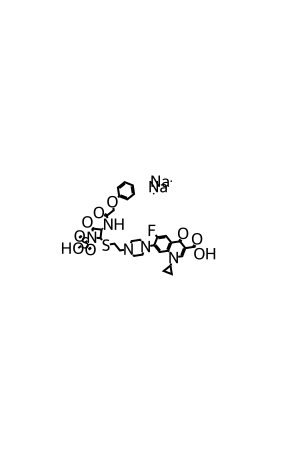 O=C(COc1ccccc1)N[C@H]1C(=O)N(S(=O)(=O)O)C1SCCN1CCN(c2cc3c(cc2F)c(=O)c(C(=O)O)cn3C2CC2)CC1.[Na].[Na]